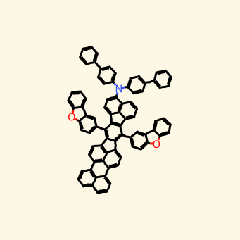 c1ccc(-c2ccc(N(c3ccc(-c4ccccc4)cc3)c3ccc4c5c(-c6ccc7oc8ccccc8c7c6)c6c7ccc8c9cccc%10cccc(c%11ccc(c6c(-c6ccc%12oc%13ccccc%13c%12c6)c5c5cccc3c54)c7c%118)c%109)cc2)cc1